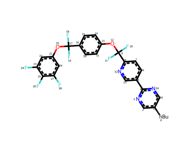 CCCCc1cnc(-c2ccc(C(F)(F)Oc3ccc(C(F)(F)Oc4cc(F)c(F)c(F)c4)cc3)nc2)nc1